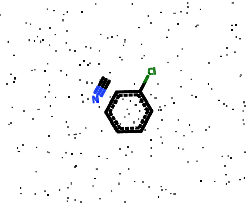 C#N.Clc1ccccc1